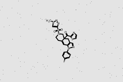 Cn1cc(S(=O)(=O)N2CCC3=Cc4c(cnn4-c4ccc(F)cc4)CC3(C(=O)c3nccs3)C2)nn1